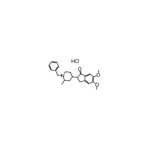 COc1cc2c(cc1OC)C(=O)C(C1CCN(Cc3ccccc3)C(C)C1)C2.Cl